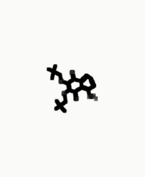 CC(C)(C)COC1=C(OCC(C)(C)C)C(=O)c2c(N)cccc2C1=O